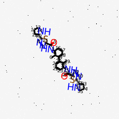 Cc1c(NC(=O)c2nnc([C@@H]3CCCN3)s2)cccc1-c1cccc(NC(=O)c2nnc([C@@H]3CCCN3)s2)c1C